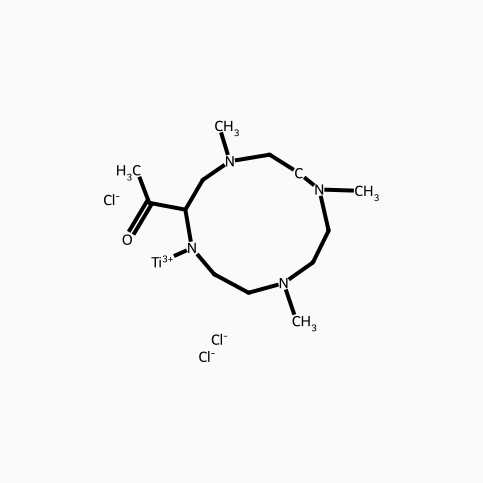 CC(=O)C1CN(C)CCN(C)CCN(C)CC[N]1[Ti+3].[Cl-].[Cl-].[Cl-]